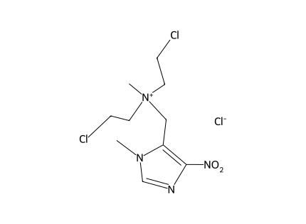 Cn1cnc([N+](=O)[O-])c1C[N+](C)(CCCl)CCCl.[Cl-]